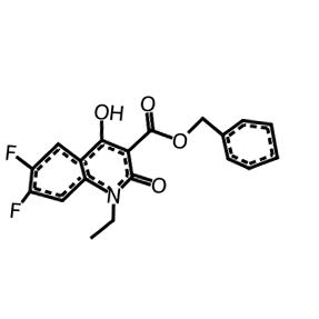 CCn1c(=O)c(C(=O)OCc2ccccc2)c(O)c2cc(F)c(F)cc21